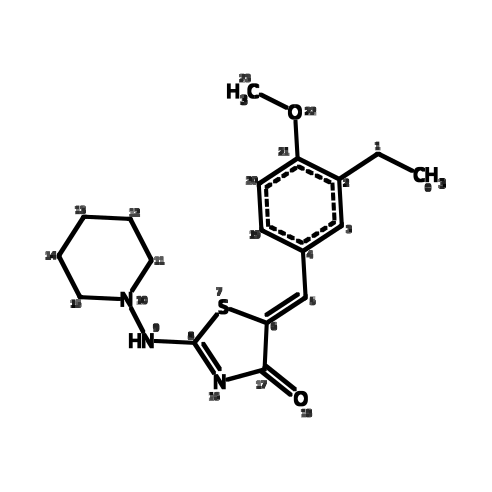 CCc1cc(/C=C2\SC(NN3CCCCC3)=NC2=O)ccc1OC